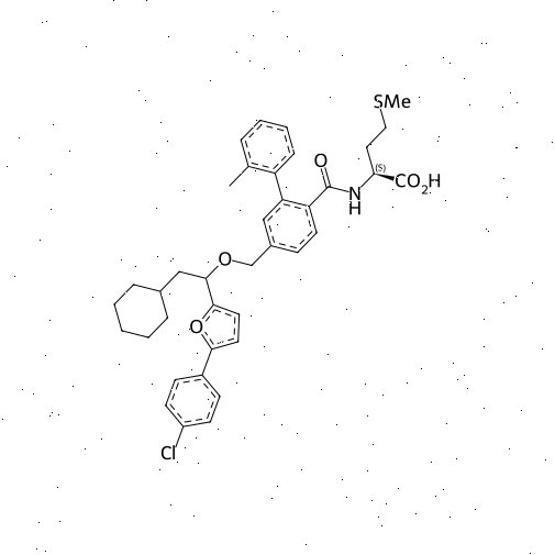 CSCC[C@H](NC(=O)c1ccc(COC(CC2CCCCC2)c2ccc(-c3ccc(Cl)cc3)o2)cc1-c1ccccc1C)C(=O)O